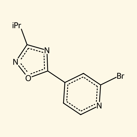 CC(C)c1noc(-c2ccnc(Br)c2)n1